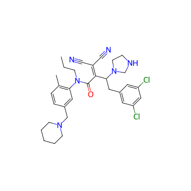 CCCN(C(=O)C(=C(C#N)C#N)C(Cc1cc(Cl)cc(Cl)c1)N1CCNC1)c1cc(CN2CCCCC2)ccc1C